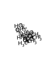 CC(C)(C)OC(=O)NCCCCCO.CC(C)(C)OC(=O)NCCCCO